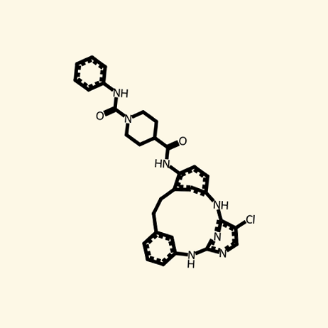 O=C(Nc1ccc2cc1CCc1cccc(c1)Nc1ncc(Cl)c(n1)N2)C1CCN(C(=O)Nc2ccccc2)CC1